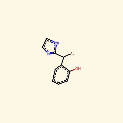 CC(=O)C(c1ncc[nH]1)c1ccccc1O